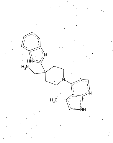 Cc1c[nH]c2ncnc(N3CCC(CN)(c4nc5ccccc5[nH]4)CC3)c12